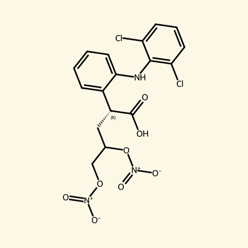 O=C(O)[C@H](CC(CO[N+](=O)[O-])O[N+](=O)[O-])c1ccccc1Nc1c(Cl)cccc1Cl